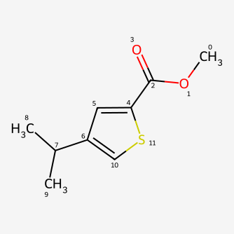 COC(=O)c1cc(C(C)C)cs1